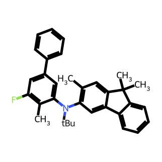 Cc1cc2c(cc1N(c1cc(-c3ccccc3)cc(F)c1C)C(C)(C)C)-c1ccccc1C2(C)C